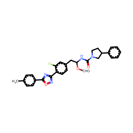 Cc1ccc(-c2nc(-c3ccc(CC(NC(=O)N4CCC(c5ccccc5)C4)OC=O)cc3F)no2)cc1